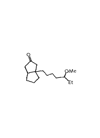 CCC(CCCCC12CCCC1CC(=O)C2)OC